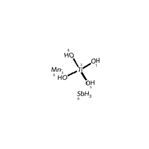 [Mn].[OH][Ti]([OH])([OH])[OH].[SbH3]